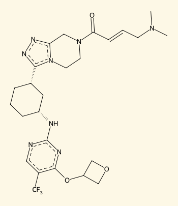 CN(C)C/C=C/C(=O)N1CCn2c(nnc2[C@H]2CCC[C@@H](Nc3ncc(C(F)(F)F)c(OC4COC4)n3)C2)C1